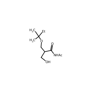 CCC(C)(C)OCC(CO)C(=O)NC(C)=O